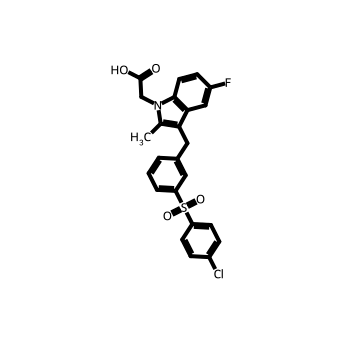 Cc1c(Cc2cccc(S(=O)(=O)c3ccc(Cl)cc3)c2)c2cc(F)ccc2n1CC(=O)O